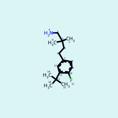 CC(C)(CN)CCc1ccc(F)c(C(C)(C)C)c1